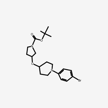 CC(C)(C)OC(=O)N1CCC(OC2CCN(c3ccc(Br)cc3)CC2)C1